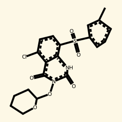 Cc1cccc(S(=O)(=O)c2ccc(Cl)c3c(=O)n(OC4CCCCO4)c(=O)[nH]c23)c1